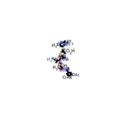 CC(=O)Oc1ccc(C(=O)NNC(=O)C(C)(C)ON=C(C(=O)NC2C(=O)N3CC(CSC4=CC(C)=NC5=CN(C(F)(F)F)NN54)(C(=O)O)CS[C@H]23)c2csc(N)n2)cc1OC(C)=O